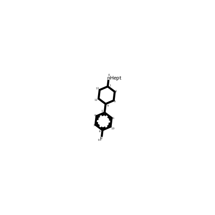 CCCCCCCC1CCC(c2ccc(F)cc2)CC1